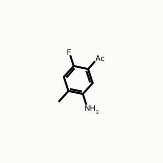 CC(=O)c1cc(N)c(C)cc1F